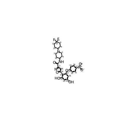 O=C(NC1CCN(C2CCC(F)(F)CC2)CC1)c1cc(-c2c(O)cc(O)cc2Oc2ccc([N+](=O)[O-])cc2)on1